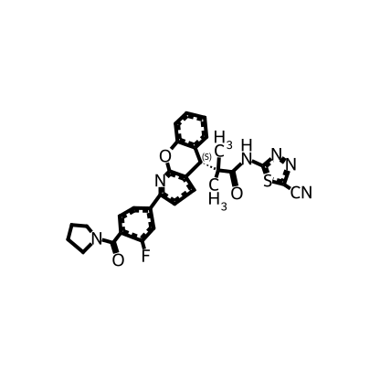 CC(C)(C(=O)Nc1nnc(C#N)s1)[C@H]1c2ccccc2Oc2nc(-c3ccc(C(=O)N4CCCC4)c(F)c3)ccc21